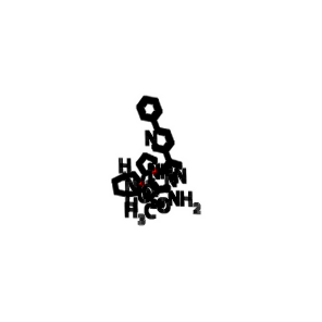 CS(=O)(=O)c1c([C@@H]2C[C@H]3CC[C@@H](C2)N3C(=O)[C@H]2CCCN2)nc2c(-c3ccc(-c4ccccc4)nc3)cnn2c1N